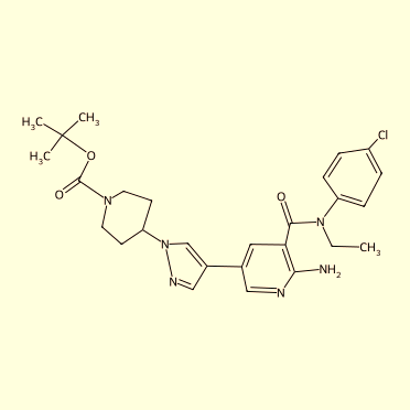 CCN(C(=O)c1cc(-c2cnn(C3CCN(C(=O)OC(C)(C)C)CC3)c2)cnc1N)c1ccc(Cl)cc1